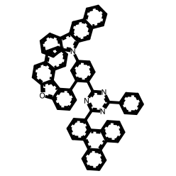 c1ccc(-c2nc(-c3ccc(-n4c5ccccc5c5cc6ccccc6cc54)cc3-c3cccc4oc5ccc6ccccc6c5c34)nc(-c3cccc4c5ccccc5c5ccccc5c34)n2)cc1